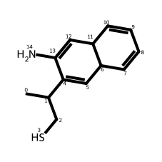 CC(CS)C1=CC2C=CC=CC2C=C1N